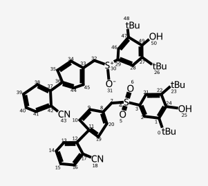 CC(C)(C)c1cc(S(=O)(=O)Cc2ccc(-c3ccccc3C#N)cc2)cc(C(C)(C)C)c1O.CC(C)(C)c1cc([S+]([O-])Cc2ccc(-c3ccccc3C#N)cc2)cc(C(C)(C)C)c1O